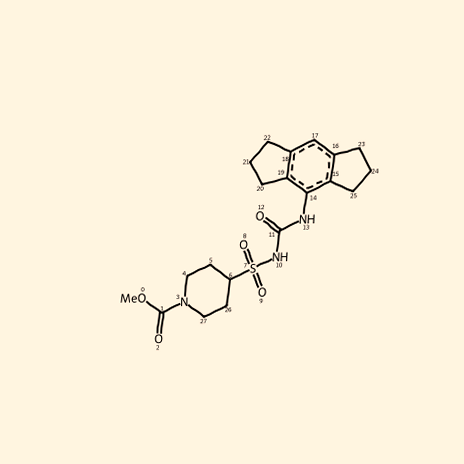 COC(=O)N1CCC(S(=O)(=O)NC(=O)Nc2c3c(cc4c2CCC4)CCC3)CC1